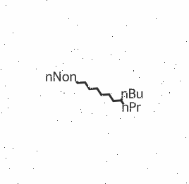 [CH2]CCC(CCCC)CCCCCCCCCCCCCCCC